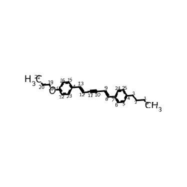 CCCCc1ccc(C=CC#CC=Cc2ccc(OCCC)cc2)cc1